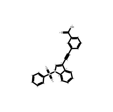 O=C(O)c1cccc(C#Cc2cn(S(=O)(=O)c3ccccc3)c3ccccc23)c1